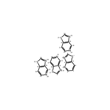 [c]1ccnc2ncsc12.[c]1nc2cnccc2s1.[c]1nccc2scnc12.[c]1nccc2scnc12